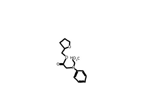 O=C(O)CN(CC(=O)OCC1CCCO1)c1ccccc1